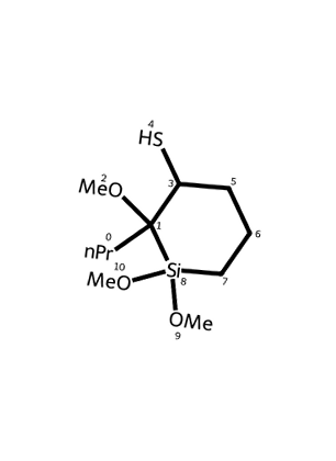 CCCC1(OC)C(S)CCC[Si]1(OC)OC